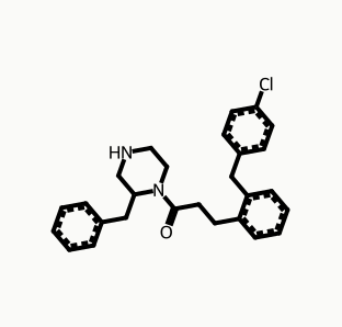 O=C(CCc1ccccc1Cc1ccc(Cl)cc1)N1CCNCC1Cc1ccccc1